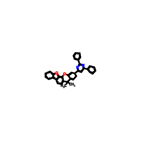 CC1(C)C2=CCC(c3cc(-c4ccccc4)nc(-c4ccccc4)n3)C=C2Oc2c1ccc1c2oc2ccccc21